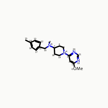 COc1cc(N2CCC(N(C)Cc3ccc(C)cc3)CC2)ncn1